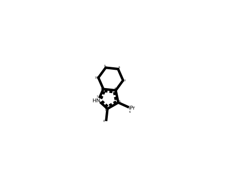 Cc1[nH]c2c(c1C(C)C)CCCC2